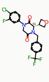 O=C1[C@H](C2COC2)N(Cc2ccc(C(F)(F)F)cc2)C(=O)CN1c1ccc(Cl)c(F)c1